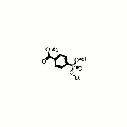 CCOP(=O)(OCC)c1ccc(C(=O)OC)cc1